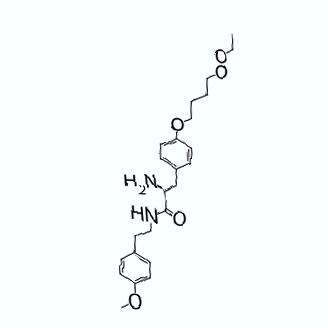 CCOOCCCCOc1ccc(C[C@H](N)C(=O)NCCc2ccc(OC)cc2)cc1